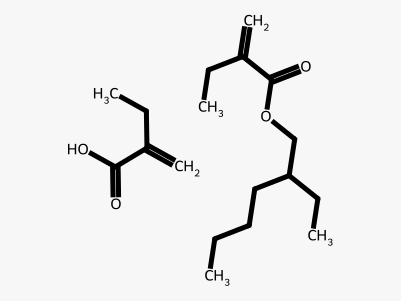 C=C(CC)C(=O)O.C=C(CC)C(=O)OCC(CC)CCCC